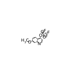 COc1ccc2c(OS(=O)(=O)C(F)(F)F)ccnc2c1